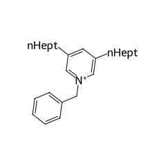 CCCCCCCc1cc(CCCCCCC)c[n+](Cc2ccccc2)c1